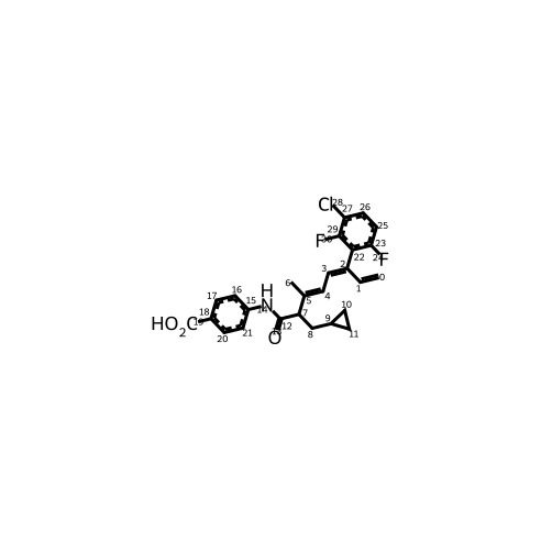 C=C/C(=C\C=C(/C)C(CC1CC1)C(=O)Nc1ccc(C(=O)O)cc1)c1c(F)ccc(Cl)c1F